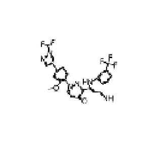 COc1cc(-c2cnn(C(F)F)c2)ccc1-n1ccc(=O)c(/C(=C/C=N)Nc2cccc(C(F)(F)F)c2)n1